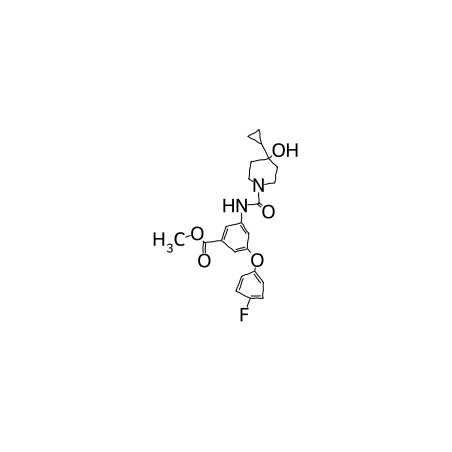 COC(=O)c1cc(NC(=O)N2CCC(O)(C3CC3)CC2)cc(Oc2ccc(F)cc2)c1